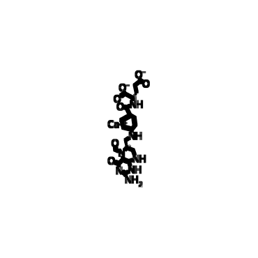 Nc1nc(=O)c2c([nH]1)NC[C@H](CNc1ccc(C(=O)N[C@@H](CCC(=O)[O-])C(=O)[O-])cc1)N2C=O.[Ca+2]